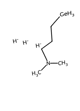 CN(C)CC[CH2][GeH3].[H-].[H-].[H-]